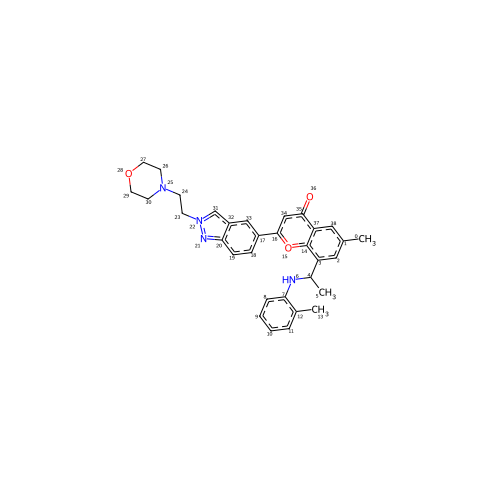 Cc1cc(C(C)Nc2ccccc2C)c2oc(-c3ccc4nn(CCN5CCOCC5)cc4c3)cc(=O)c2c1